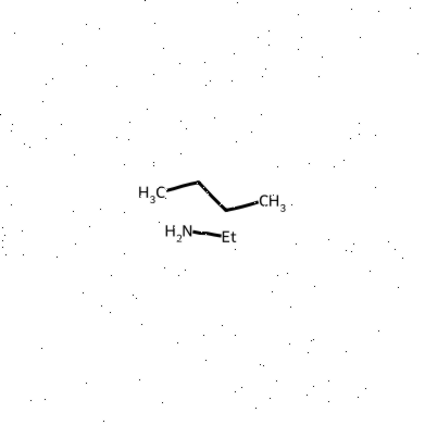 CCCC.CCN